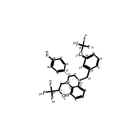 O[C@H](CN1c2ccccc2N(Cc2cccc(OC(F)(F)F)c2)C[C@H]1c1ccc(F)cc1)C(F)(F)F